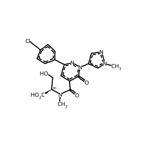 CN(C(=O)c1cc(-c2ccc(Cl)cc2)nn(-c2cnn(C)c2)c1=O)[C@H](CO)C(=O)O